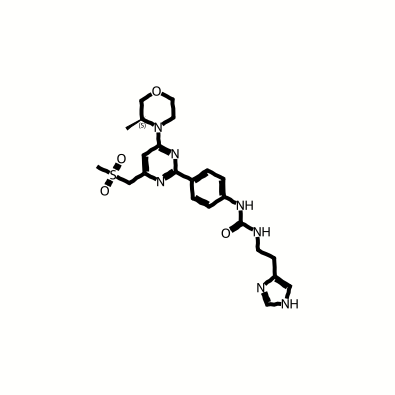 C[C@H]1COCCN1c1cc(CS(C)(=O)=O)nc(-c2ccc(NC(=O)NCCc3c[nH]cn3)cc2)n1